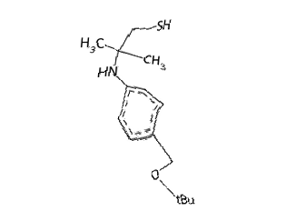 CC(C)(CS)Nc1ccc(COC(C)(C)C)cc1